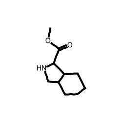 COC(=O)C1NCC2CCCCC21